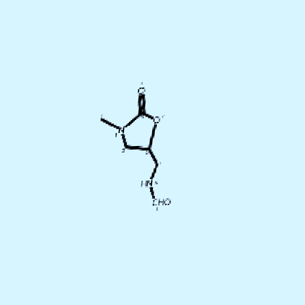 CN1CC(CNC=O)OC1=O